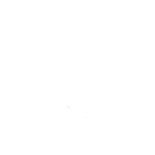 Cc1ccc(-c2ccc(-c3cnc(C4CCCC4)[nH]3)cc2)c2c1C1(CCCC1)CC2